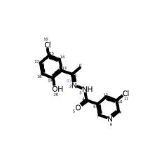 C/C(=N\NC(=O)c1cncc(Cl)c1)c1cc(Cl)ccc1O